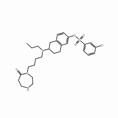 CCCN(CCCCN1CCNCCC1=O)C1CCc2cc(OS(=O)(=O)c3cccc(Cl)c3)ccc2C1